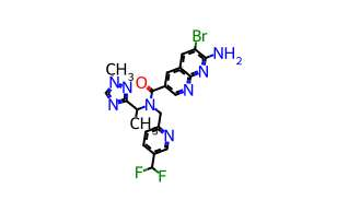 CC(c1ncn(C)n1)N(Cc1ccc(C(F)F)cn1)C(=O)c1cnc2nc(N)c(Br)cc2c1